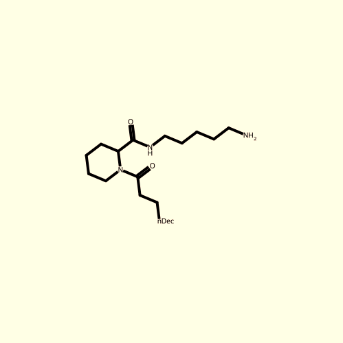 CCCCCCCCCCCCC(=O)N1CCCCC1C(=O)NCCCCCN